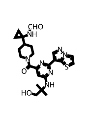 CC(C)(CO)Nc1cc(C(=O)N2CCC(C3(NC=O)CC3)CC2)nc(-c2cnn3ccsc23)n1